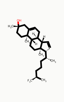 C[C@H](CCC[C@@H](C)C(F)(F)F)[C@H]1C=C[C@H]2[C@@H]3CC=C4C[C@@](C)(O)CC[C@]4(C)[C@H]3CC[C@]12C